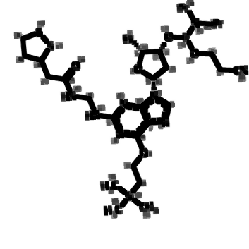 CC[C@H]1O[C@@H](n2cnc3c(OCC[Si](C)(C)C)nc(NCNC(=O)CC4CCSS4)nc32)C[C@H]1OP(OCCC#N)N(C(C)C)C(C)C